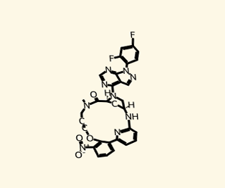 CN1CCCOc2c(cccc2[N+](=O)[O-])-c2cccc(n2)N[C@H]2C[C@@H](C1=O)N(c1ncnc3c1cnn3-c1ccc(F)cc1F)C2